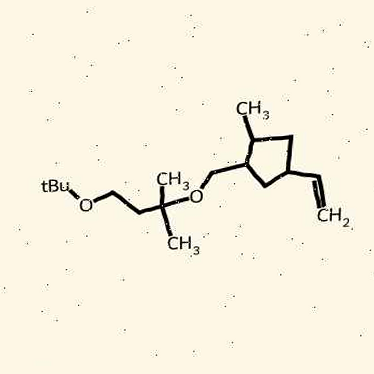 C=CC1CC(C)C(COC(C)(C)CCOC(C)(C)C)C1